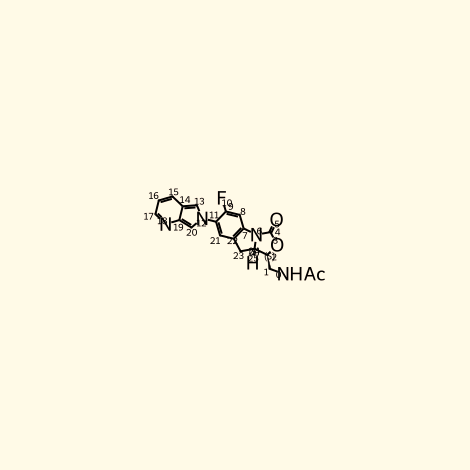 CC(=O)NC[C@@H]1OC(=O)N2c3cc(F)c(-n4cc5cccnc5c4)cc3C[C@@H]12